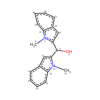 Cn1c(B(O)c2cc3ccccc3n2C)cc2ccccc21